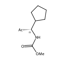 COC(=O)N[C@H](C(C)=O)C1CCCC1